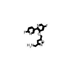 NCC1=NOC(COc2cc(F)cnc2-c2ccc(F)nc2)C1